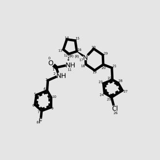 O=C(NCc1ccc(F)cc1)N[C@@H]1CCC[C@H]1N1CCC(Cc2ccc(Cl)cc2)CC1